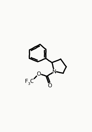 O=C(OC(F)(F)F)N1CCCC1c1ccccc1